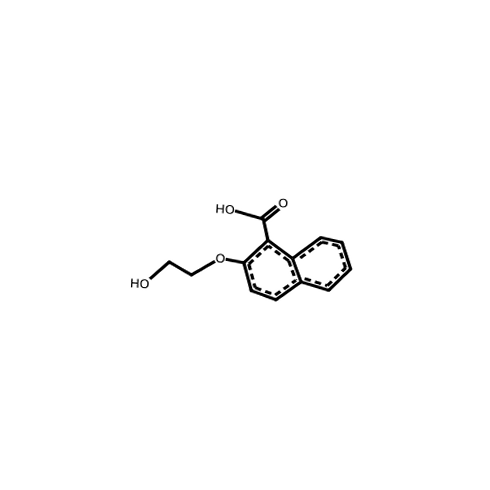 O=C(O)c1c(OCCO)ccc2ccccc12